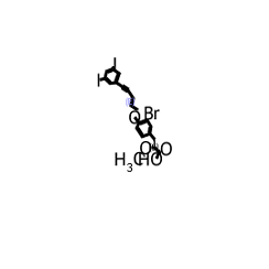 CCO[C@@H](Cc1ccc(OC/C=C/C#Cc2cc(I)cc(I)c2)c(Br)c1)C(=O)O